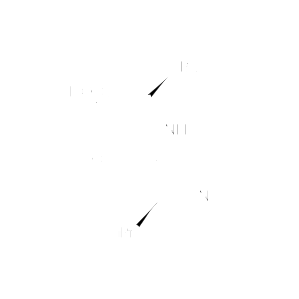 CC[C@H](C)[C@H](NC(=O)[C@H](C(C)C)N(C)C)C(=O)O